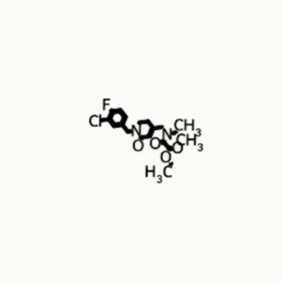 CCOC(=O)C(=O)N(CC1=CC(=O)N(Cc2ccc(F)c(Cl)c2)CC1)C(C)C